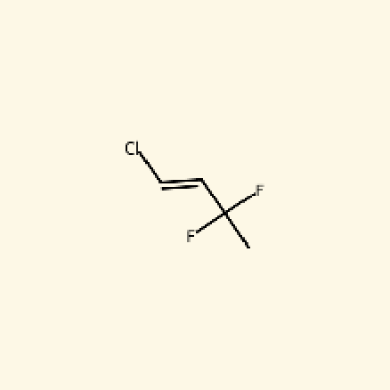 CC(F)(F)C=CCl